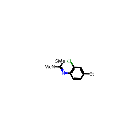 CCc1ccc(N=C(NC)SC)c(Cl)c1